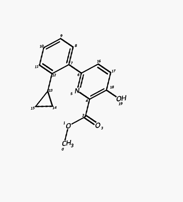 COC(=O)c1nc(-c2ccccc2C2CC2)ccc1O